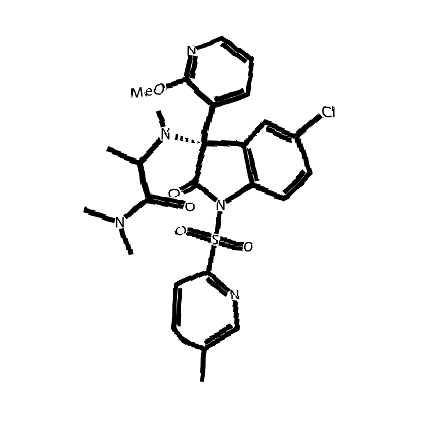 COc1ncccc1[C@]1(N(C)C(C)C(=O)N(C)C)C(=O)N(S(=O)(=O)c2ccc(C)cn2)c2ccc(Cl)cc21